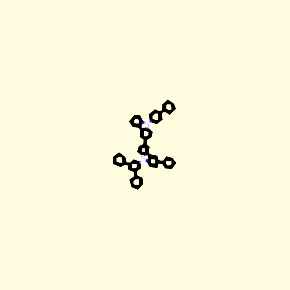 c1ccc(-c2ccc(-n3c4ccccc4c4cc(-c5ccc6c(c5)c5cc(-c7ccccc7)ccc5n6-c5cc(-c6ccccc6)cc(-c6ccccc6)c5)ccc43)cc2)cc1